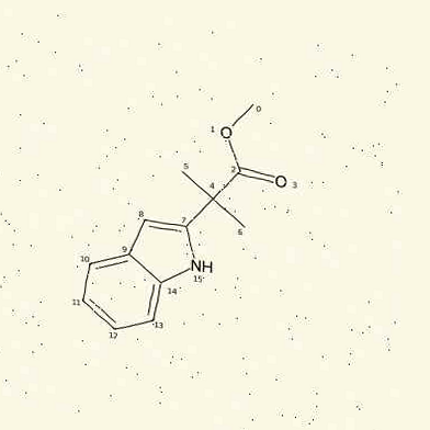 COC(=O)C(C)(C)c1cc2ccccc2[nH]1